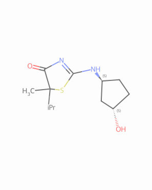 CC(C)C1(C)SC(N[C@H]2CC[C@H](O)C2)=NC1=O